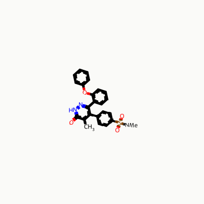 CNS(=O)(=O)c1ccc(-c2c(-c3ccccc3Oc3ccccc3)n[nH]c(=O)c2C)cc1